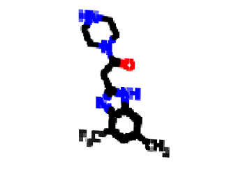 Cc1cc(C(F)(F)F)c2nc(CC(=O)N3CCNCC3)[nH]c2c1